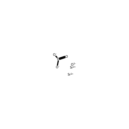 [O-2].[O]=[Ti]([O-])[O-].[Sr+2].[Sr+2]